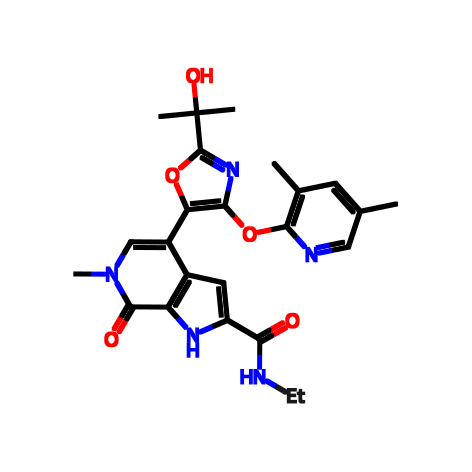 CCNC(=O)c1cc2c(-c3oc(C(C)(C)O)nc3Oc3ncc(C)cc3C)cn(C)c(=O)c2[nH]1